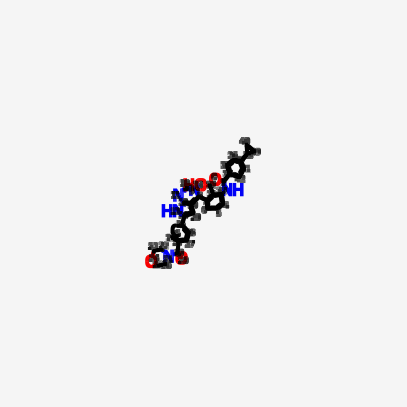 O=C(Nc1cccc(-c2ncnc3[nH]c(-c4ccc(C(=O)N5CCOCC5)cc4)cc23)c1CO)c1ccc(C2CC2)cc1